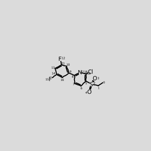 CCS(=O)(=O)c1ccc(-c2cc(F)cc(F)c2)nc1Cl